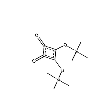 C[Si](C)(C)Oc1c(O[Si](C)(C)C)c(=O)c1=O